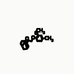 COc1cc(C)ccc1OCC(=O)C12CC3CC(CC(C3)C1)C2